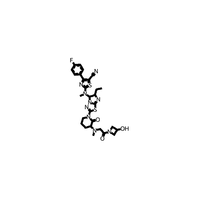 CCC1N=C2SC(N3CCCC(N(C)CC(=O)N4CC(O)C4)C3=O)=NN2C1N(C)c1nc(-c2ccc(F)cc2)c(C#N)s1